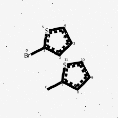 Brc1cc[c]s1.Cc1cc[c]s1